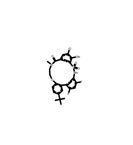 CN1CCOc2ccc(C(C)(C)C)cc2-c2cc(c(F)cc2F)NS(=O)(=O)c2cc(cc(Cl)c2O)C1=O